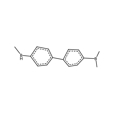 CBc1ccc(-c2ccc(B(C)C)cc2)cc1